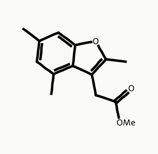 COC(=O)Cc1c(C)oc2cc(C)cc(C)c12